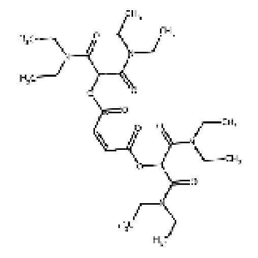 CCN(CC)C(=O)C(OC(=O)/C=C\C(=O)OC(C(=O)N(CC)CC)C(=O)N(CC)CC)C(=O)N(CC)CC